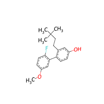 COc1ccc(F)c(-c2ccc(O)cc2CCC(C)(C)C)c1